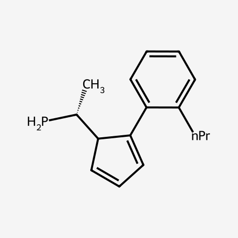 CCCc1ccccc1C1=CC=CC1[C@@H](C)P